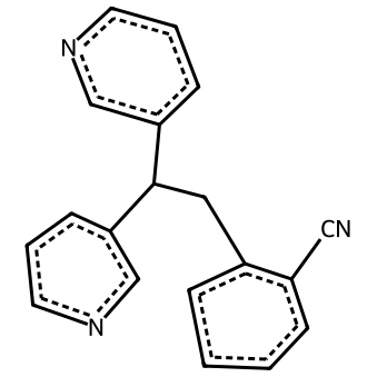 N#Cc1ccccc1CC(c1cccnc1)c1cccnc1